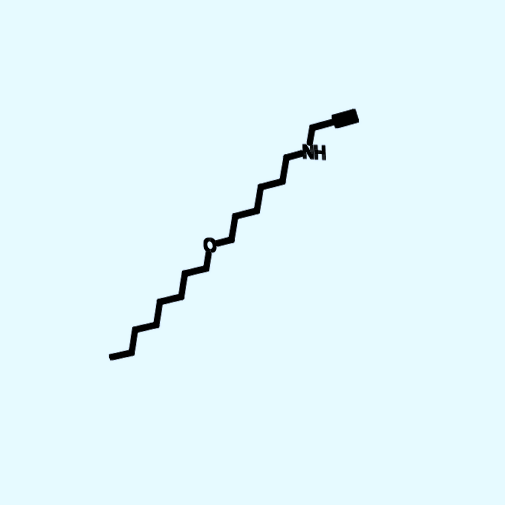 C#CCNCCCCCCOCCCCCCCC